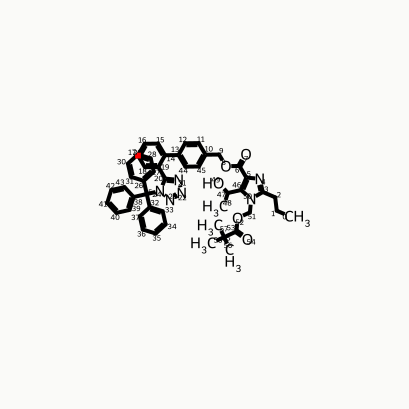 CCCc1nc(C(=O)OCc2ccc(-c3ccccc3-c3nnnn3C(c3ccccc3)(c3ccccc3)c3ccccc3)cc2)c(C(C)O)n1COC(=O)C(C)(C)C